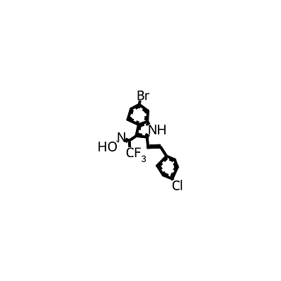 ON=C(c1c(C=Cc2ccc(Cl)cc2)[nH]c2cc(Br)ccc12)C(F)(F)F